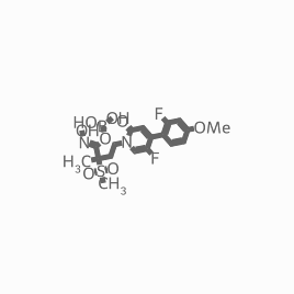 COc1ccc(-c2cc(=O)n(CCC(C)(/C(=N/O)OB(O)O)S(C)(=O)=O)cc2F)c(F)c1